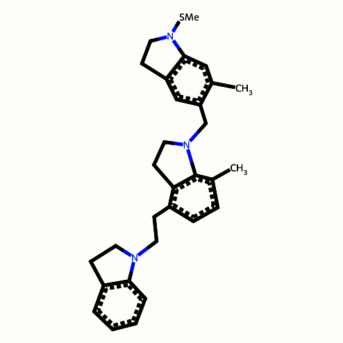 CSN1CCc2cc(CN3CCc4c(CCN5CCc6ccccc65)ccc(C)c43)c(C)cc21